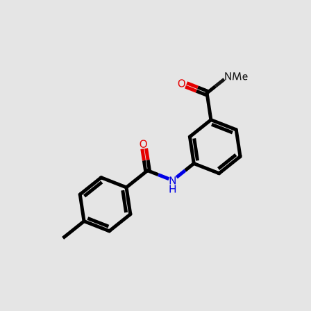 CNC(=O)c1cccc(NC(=O)c2ccc(C)cc2)c1